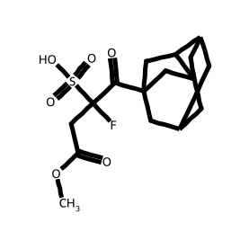 COC(=O)CC(F)(C(=O)C12CC3CC4CC(C3)(C1)C4C2)S(=O)(=O)O